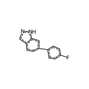 Fc1ccc(-c2ccc3cn[nH]c3c2)cc1